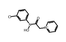 O=C(C[n+]1ccccc1)N(O)c1cccc(Cl)c1